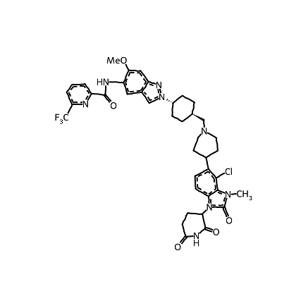 COc1cc2nn([C@H]3CC[C@H](CN4CCC(c5ccc6c(c5Cl)n(C)c(=O)n6C5CCC(=O)NC5=O)CC4)CC3)cc2cc1NC(=O)c1cccc(C(F)(F)F)n1